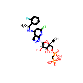 C#C[C@]1(COP(=O)(O)CP(=O)(O)O)O[C@@H](n2ncc3c(N[C@@H](C)c4ccccc4F)cc(Cl)nc32)[C@H](O)[C@@H]1O